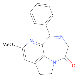 COc1cc2c3c(n1)C(c1ccccc1)=NCC(=O)N3CC2